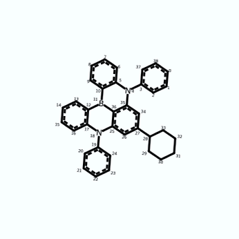 c1ccc(N2c3ccccc3B3c4ccccc4N(c4ccccc4)c4cc(C5CCCCC5)cc2c43)cc1